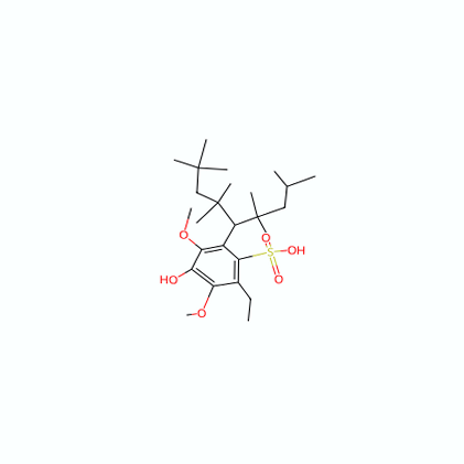 CCc1c(OC)c(O)c(OC)c(C(C(C)(C)CC(C)C)C(C)(C)CC(C)(C)C)c1S(=O)(=O)O